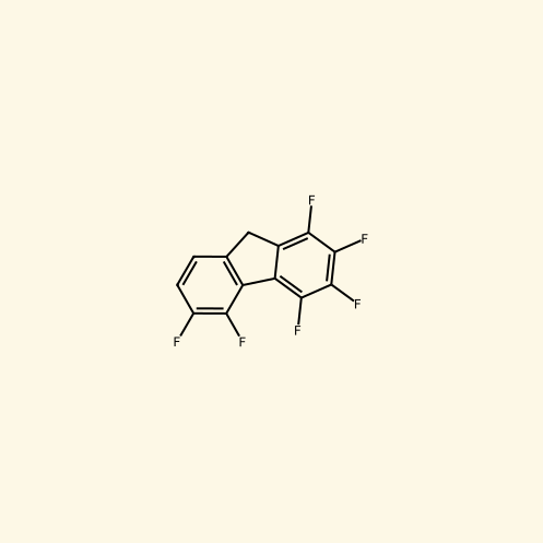 Fc1ccc2c(c1F)-c1c(F)c(F)c(F)c(F)c1C2